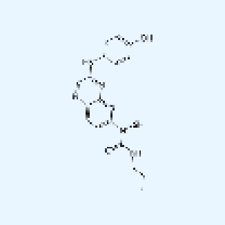 CCCNC(=O)N(S)c1ccc2ncc(Nc3ccc(O)cc3)nc2n1